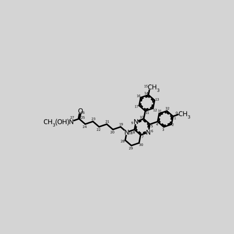 Cc1ccc(-c2nc3c(nc2-c2ccc(C)cc2)N(CCCCCCC(=O)N(C)O)CCC3)cc1